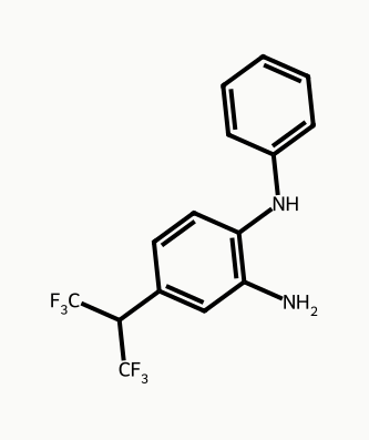 Nc1cc(C(C(F)(F)F)C(F)(F)F)ccc1Nc1ccccc1